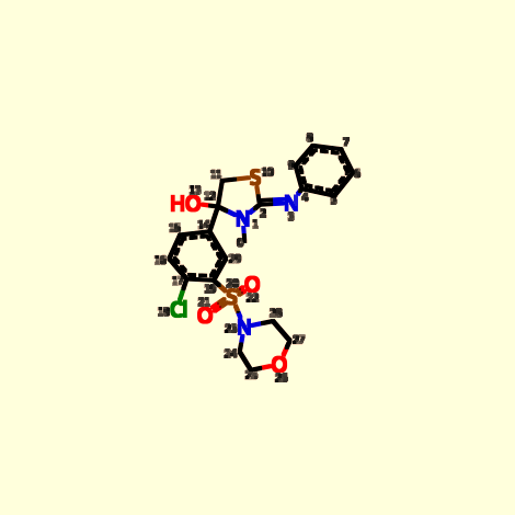 CN1C(=Nc2ccccc2)SCC1(O)c1ccc(Cl)c(S(=O)(=O)N2CCOCC2)c1